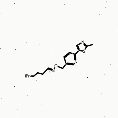 Cc1ncc(-c2ccc(CO/N=C/CCCC(C)C)cn2)s1